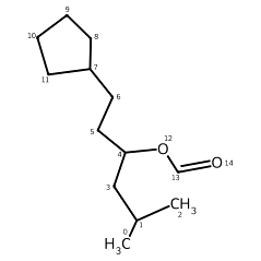 CC(C)CC(CCC1CCCC1)OC=O